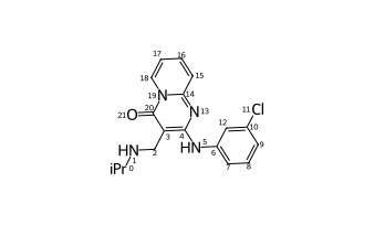 CC(C)NCc1c(Nc2cccc(Cl)c2)nc2ccccn2c1=O